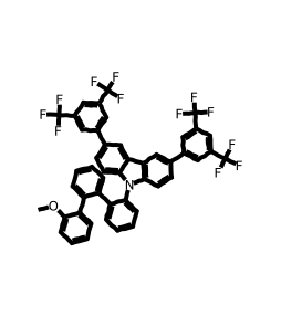 COc1ccccc1-c1ccccc1-c1ccccc1-n1c2ccc(-c3cc(C(F)(F)F)cc(C(F)(F)F)c3)cc2c2cc(-c3cc(C(F)(F)F)cc(C(F)(F)F)c3)ccc21